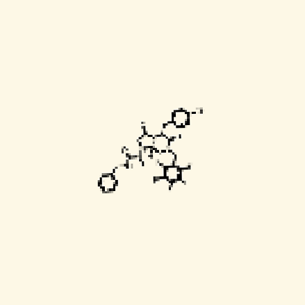 CN(C(=O)NCc1ccccc1)N1CC(=O)N2[C@@H](Cc3ccc(O)cc3)C(=O)N(Cc3c(F)c(F)c(F)c(F)c3F)C[C@@H]21